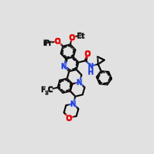 CCOc1cc2c(C(=O)NC3(c4ccccc4)CC3)c(CN3CCC(N4CCOCC4)CC3)c(-c3cccc(C(F)(F)F)c3)nc2cc1OC(C)C